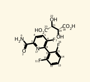 NC(=O)c1ccc(F)c(-c2c(F)cccc2F)n1.O=C(O)[C@H](O)[C@@H](O)C(=O)O